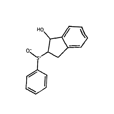 [O-][S+](c1ccccc1)C1Cc2ccccc2C1O